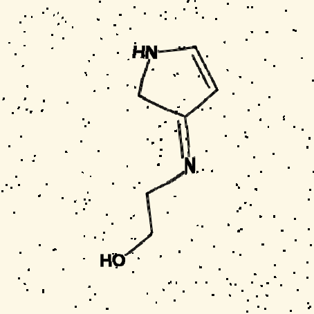 OCCN=C1C=CNC1